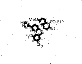 CCOC(=O)N1c2ccc(OC)nc2[C@@H](N(Cc2cc(C(F)(F)F)cc(C(F)(F)F)c2)c2ccc(-c3nn[nH]n3)cn2)C[C@H]1CC